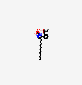 CCCCCCCCCCCCc1cnc(C(=O)O)nc1-c1ccccc1C[C@@H](C)CC